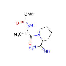 COC(=O)N[C@@H](C)C(=O)N1CCCC[C@H]1C(=N)N